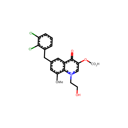 COc1cc(Cc2cccc(Cl)c2Cl)cc2c(=O)c(OC(=O)O)cn(CCO)c12